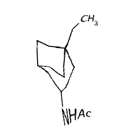 CC(=O)NC1CC2(C)CC1C2